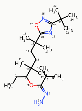 CCC(O/C(=N\N)C(C)C)C(C)(C)CCC(C)(C)c1nc(C(C)(C)C)no1